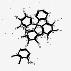 Cc1cccc([NH3+])c1C.Fc1c(F)c(F)c([B-](c2ccccc2)(c2c(F)c(F)c(F)c(F)c2F)c2c(F)c(F)c(F)c(F)c2F)c(F)c1F